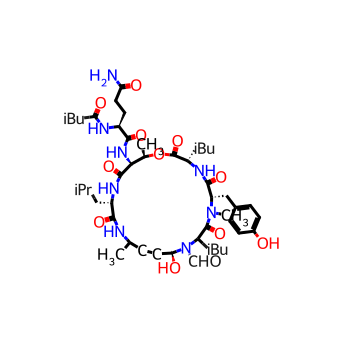 CCC(C)C(=O)N[C@@H](CCC(N)=O)C(=O)N[C@@H]1C(=O)N[C@@H](CC(C)C)C(=O)NC(C)CC[C@H](O)N(C=O)C(C(C)CC)C(=O)N(C)[C@@H](Cc2ccc(O)cc2)C(=O)N[C@@H](C(C)CC)C(=O)O[C@@H]1C